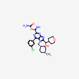 C[C@H]1CC[C@H](Cn2c(C(O)C3CCOCC3)nc3nc(C(=N)OC(N)=O)nc(-c4cccc(Cl)c4)c32)CC1